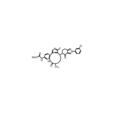 COC(=O)Nc1ccc2c(c1)NC(=O)C(C)CCCC(N1CCc3nn(-c4cccc(Cl)c4)cc3C1=O)c1cc-2cnc1F